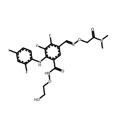 CN(C)C(=O)CON=Cc1cc(C(=O)NOCCO)c(Nc2ccc(I)cc2F)c(F)c1F